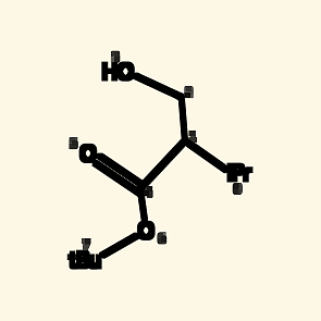 CC(C)C(CO)C(=O)OC(C)(C)C